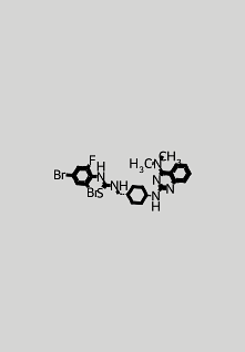 CN(C)c1nc(N[C@H]2CC[C@@H](CNC(=S)Nc3c(F)cc(Br)cc3Br)CC2)nc2ccccc12